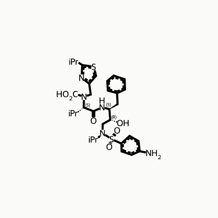 CC(C)c1nc(CN(C(=O)O)[C@H](C(=O)N[C@@H](Cc2ccccc2)[C@H](O)CN(C(C)C)S(=O)(=O)c2ccc(N)cc2)C(C)C)cs1